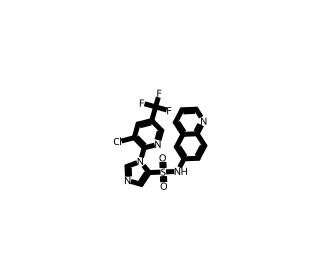 O=S(=O)(Nc1ccc2ncccc2c1)c1cncn1-c1ncc(C(F)(F)F)cc1Cl